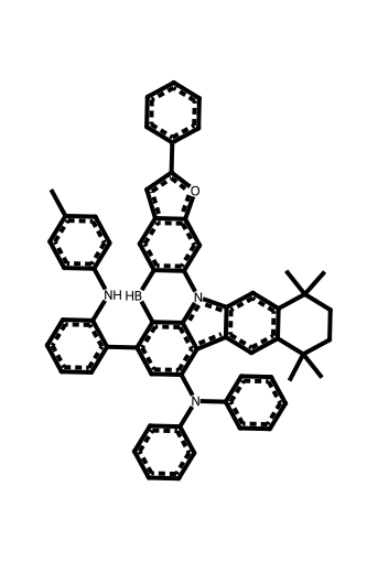 Cc1ccc(Nc2ccccc2-c2cc(N(c3ccccc3)c3ccccc3)c3c4cc5c(cc4n4c3c2Bc2cc3cc(-c6ccccc6)oc3cc2-4)C(C)(C)CCC5(C)C)cc1